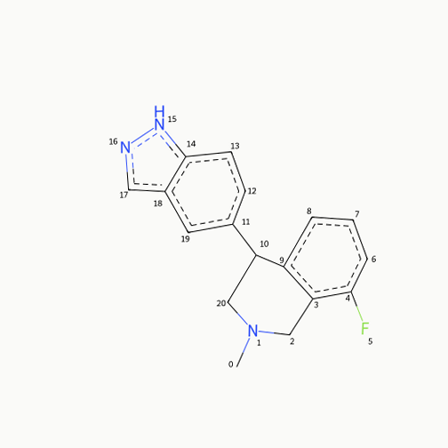 CN1Cc2c(F)cccc2C(c2ccc3[nH]ncc3c2)C1